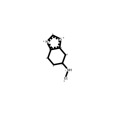 CCNC1CCc2ncsc2C1